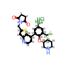 Cl.Cl.O=C1CCC(=O)N1Cc1cc2nccc(-c3cc(Cl)cc(C(F)F)c3O[C@H]3CCCNC3)c2s1